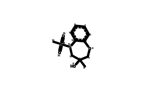 CC1(O)COc2ccccc2N(S(C)(=O)=O)C1